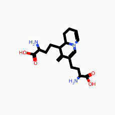 C=C1C(CCC(N)C(=O)O)=CN2C=CCCC2C1CCC(N)C(=O)O